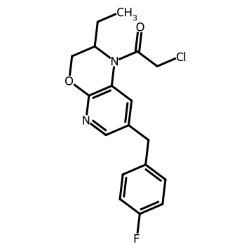 CCC1COc2ncc(Cc3ccc(F)cc3)cc2N1C(=O)CCl